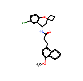 COc1ccc(CCC(=O)N[C@H]2CC3(CCC3)Oc3ccc(Cl)cc32)c2ccccc12